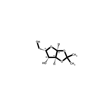 CC1(C)O[C@@H]2O[C@@H](CO)[C@@H](O)[C@@H]2O1